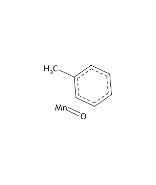 Cc1ccccc1.[O]=[Mn]